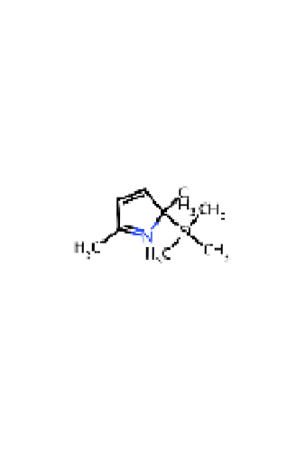 CC1=NC(C)([Si](C)(C)C)C=C1